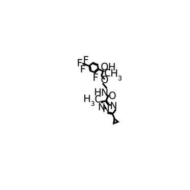 Cc1nn2cc(C3CC3)cnc2c1C(=O)NCCOC[C@@](C)(O)c1ccc(C(F)(F)F)cc1F